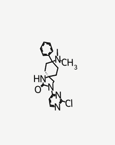 CN(I)[C@]1(c2ccccc2)CC[C@]2(CC1)CN(c1ccnc(Cl)n1)C(=O)N2